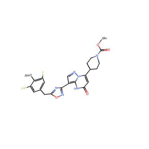 COc1c(F)cc(Cc2nc(-c3cnn4c(C5CCN(C(=O)OC(C)(C)C)CC5)cc(=O)[nH]c34)no2)cc1F